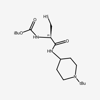 CC(C)COC(=O)N[C@@H](CS)C(=O)NC1CCN(C(C)(C)C)CC1